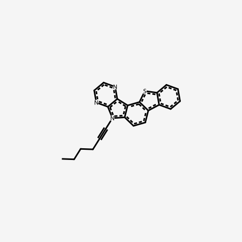 CCCCC#Cn1c2ccc3c4ccccc4sc3c2c2nccnc21